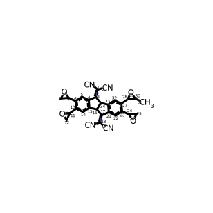 [C-]#[N+]/C(C#N)=C1\c2cc(C3CO3)c(C3CO3)cc2C2/C(=C(/C#N)[N+]#[C-])c3cc(C4CO4)c(C4OC4C)cc3C12